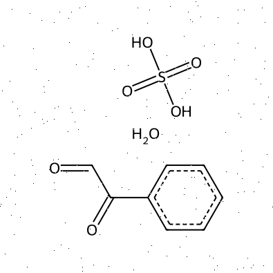 O.O=CC(=O)c1ccccc1.O=S(=O)(O)O